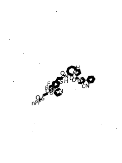 CCCC(=O)SCCOP(=O)(Oc1cccnc1)C(F)(F)c1ccc2sc(C(=O)N[C@H]3CCCC[C@H]4CC[C@@H](C(=O)N5C[C@H](c6ccccc6)[C@@H](C#N)C5)N4C3=O)cc2c1